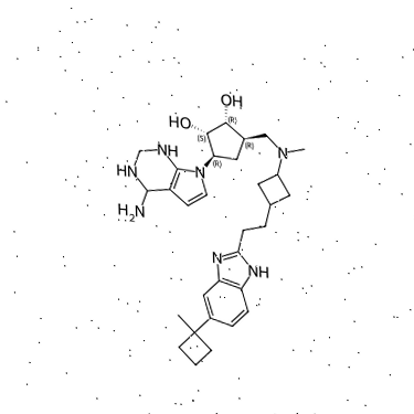 CN(C[C@H]1C[C@@H](n2ccc3c2NCNC3N)[C@H](O)[C@@H]1O)C1CC(CCc2nc3cc(C4(C)CCC4)ccc3[nH]2)C1